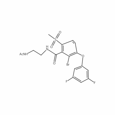 CC(=O)NCCNC(=O)c1c(S(C)(=O)=O)ccc(Oc2cc(F)cc(F)c2)c1Br